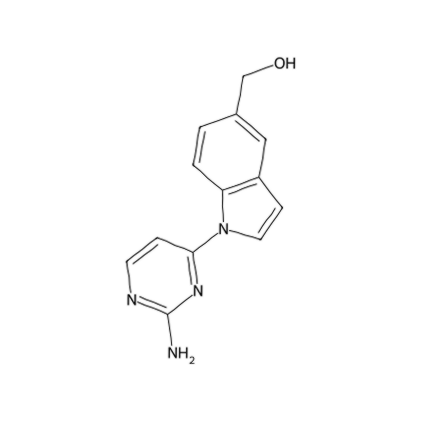 Nc1nccc(-n2ccc3cc(CO)ccc32)n1